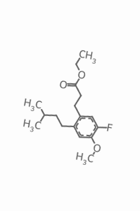 CCOC(=O)CCc1cc(F)c(OC)cc1CCC(C)C